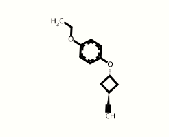 C#C[C@H]1C[C@H](Oc2ccc(OCC)cc2)C1